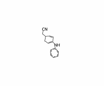 N#CCC1C=CC(Nc2ccccc2)=CC1